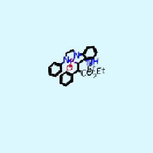 CCNCC(C(C(=O)OCC)c1ccccc1)P1(=O)N(c2ccccc2)CCN1c1ccccc1